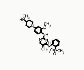 CNC1CCN(c2ccc(Nc3ncc(Cl)c(Nc4ccccc4P(C)(C)=O)n3)c(OC)c2)CC1